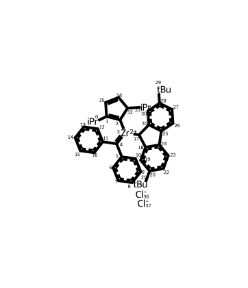 CC(C)C1=[C]([Zr+2](=[C](c2ccccc2)c2ccccc2)[CH]2c3cc(C(C)(C)C)ccc3-c3ccc(C(C)(C)C)cc32)C(C(C)C)C=C1.[Cl-].[Cl-]